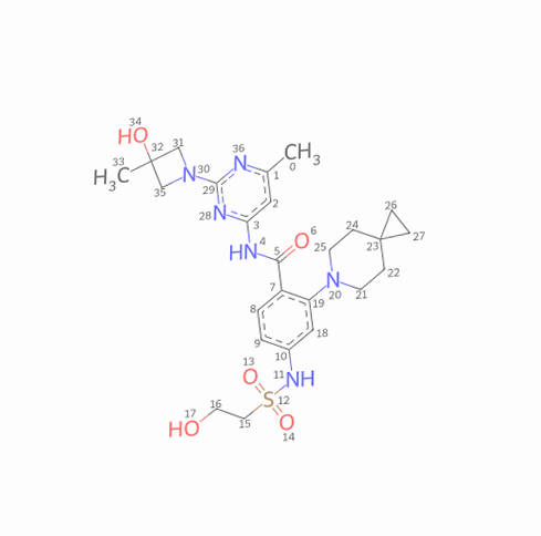 Cc1cc(NC(=O)c2ccc(NS(=O)(=O)CCO)cc2N2CCC3(CC2)CC3)nc(N2CC(C)(O)C2)n1